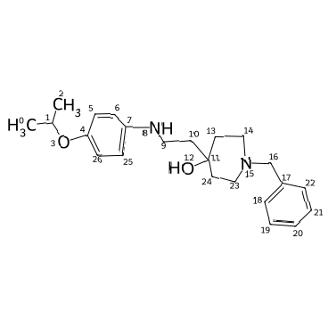 CC(C)Oc1ccc(NCCC2(O)CCN(Cc3ccccc3)CC2)cc1